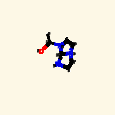 CC(=O)n1ccn2ccnc12